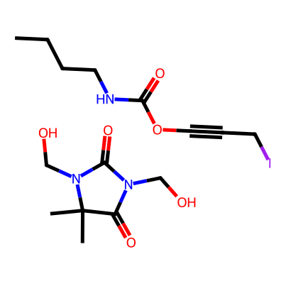 CC1(C)C(=O)N(CO)C(=O)N1CO.CCCCNC(=O)OC#CCI